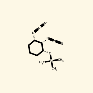 C[Si](C)(C)O[C@@H]1CCC[C@H](N=[N+]=[N-])[C@@H]1N=[N+]=[N-]